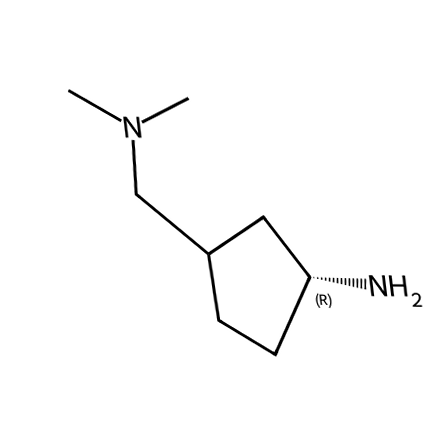 CN(C)CC1CC[C@@H](N)C1